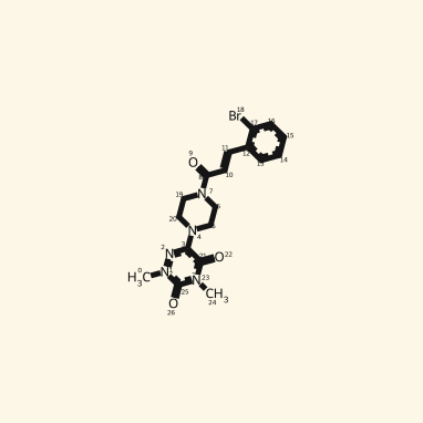 Cn1nc(N2CCN(C(=O)C=Cc3ccccc3Br)CC2)c(=O)n(C)c1=O